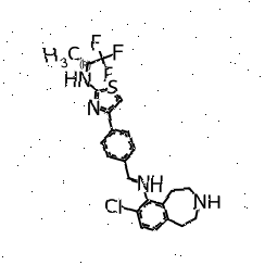 C[C@@H](Nc1nc(-c2ccc(CNc3c(Cl)ccc4c3CCNCC4)cc2)cs1)C(F)(F)F